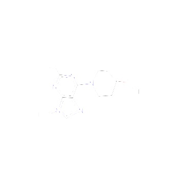 CCc1nc(N2CCC(OC(F)(F)F)CC2)c2ncn(C)c2n1